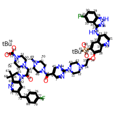 C[C@@H]1CN(C(=O)c2cnc(N3CCN(CCOc4cc5nccc(Nc6n[nH]c7ccc(F)cc67)c5cc4S(=O)(=O)C(C)(C)C)CC3)nc2)CCN1C[C@H]1CN(C(=O)OC(C)(C)C)[C@@H](C)CN1CC(=O)N1CC(C)(C)c2ncc(Cc3ccc(F)cc3)cc21